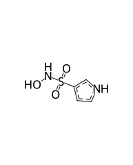 O=S(=O)(NO)c1cc[nH]c1